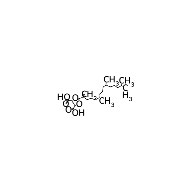 C=C(CCCC(C)CCCC(C)CCCC(C)C)C1OC(C(=O)O)C(C(=O)O)O1